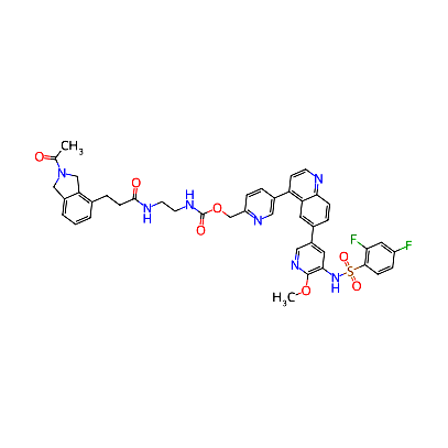 COc1ncc(-c2ccc3nccc(-c4ccc(COC(=O)NCCNC(=O)CCc5cccc6c5CN(C(C)=O)C6)nc4)c3c2)cc1NS(=O)(=O)c1ccc(F)cc1F